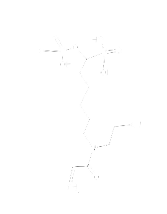 C=CC(=O)N(CCC)CCCCCC(OP(=O)(O)O)P(=O)(O)O